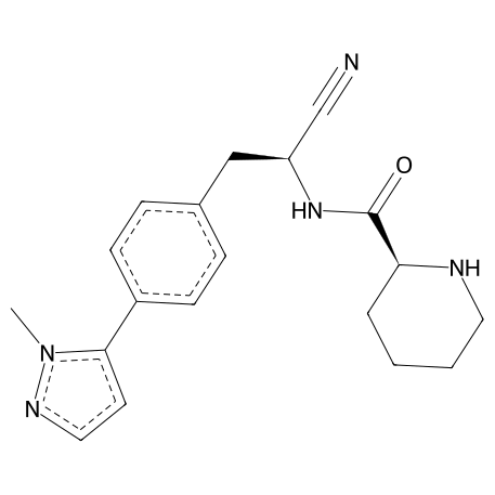 Cn1nccc1-c1ccc(C[C@@H](C#N)NC(=O)[C@@H]2CCCCN2)cc1